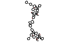 c1ccc(-c2ccc(-c3ccc(N(c4ccccc4)c4cccc5c4-c4ccccc4C54c5ccccc5N(c5ccc(-c6ccc7c(c6)sc6ccc(-c8ccc(N(c9ccc(-c%10ccccc%10)cc9)c9cccc%10c9-c9ccccc9C%109c%10ccccc%10N(c%10ccccc%10)c%10ccccc%109)cc8)cc67)cc5)c5ccccc54)cc3)cc2)cc1